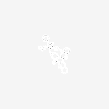 Cc1nn(-c2ccccc2)c(C)c1CN1CCC2(CC1)C(=O)NC(CC1CCCCC1)C(=O)N2Cc1ccccc1